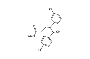 COC(=O)CCC(c1cccc(Cl)c1)C(O)c1ccc(Cl)cc1